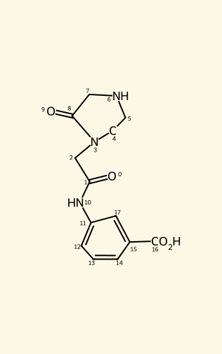 O=C(CN1CCNCC1=O)Nc1cccc(C(=O)O)c1